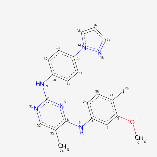 COc1cc(Nc2nc(Nc3ccc(-n4cccn4)cc3)ncc2C)ccc1I